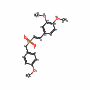 COc1ccc(CS(=O)(=O)C=Cc2ccc(OC)c(OC)c2)cc1